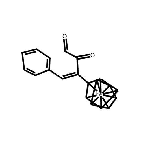 O=CC(=O)C(=Cc1ccccc1)[C]12[CH]3[CH]4[CH]5[CH]1[Fe]45321678[CH]2[CH]1[CH]6[CH]7[CH]28